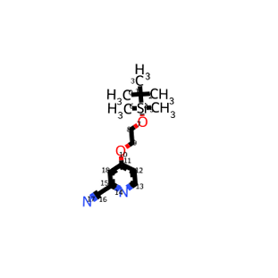 CC(C)(C)[Si](C)(C)OCCOc1ccnc(C#N)c1